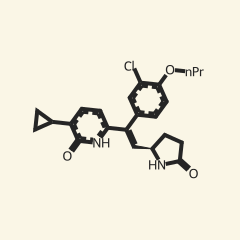 CCCOc1ccc(/C(=C\[C@H]2CCC(=O)N2)c2ccc(C3CC3)c(=O)[nH]2)cc1Cl